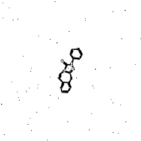 O=c1n(-c2ccccc2)nc2n1C=Cc1ccccc1C2